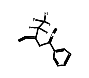 C=C=C(CC(=C=C)C(F)(F)C(F)(F)CC)c1ccccc1